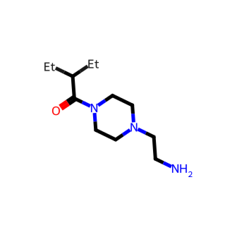 CCC(CC)C(=O)N1CCN(CCN)CC1